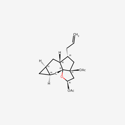 C=CC[C@@H]1C[C@]2(OC(C)=O)C[C@@H](OC(C)=O)O[C@@]23C[C@H]2C[C@H]2C[C@H]13